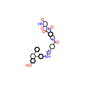 O=C1CCC(N2C(=O)c3cc4c(cc3C2=O)CN(C(=O)C2CCC(N3CC(Nc5ccc([C@H]6c7ccc(O)cc7CC[C@H]6c6ccccc6)cc5)C3)CC2)C4)C(=O)N1